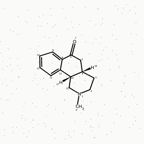 CN1CC[C@H]2CC(=O)c3ccccc3[C@H]2C1